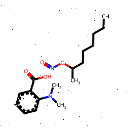 CCCCCCC(C)ON=O.CN(C)c1ccccc1C(=O)O